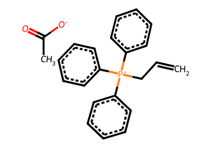 C=CC[P+](c1ccccc1)(c1ccccc1)c1ccccc1.CC(=O)[O-]